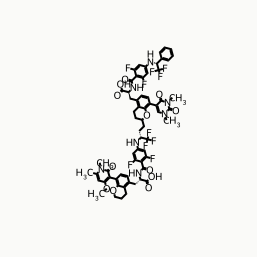 COc1cc(C)n(C)c(=O)c1-c1ccc(C[C@H](NC(=O)c2c(F)cc(N[C@H](CCC3CCc4c(C[C@H](NC(=O)c5c(F)cc(N[C@H](c6ccccc6)C(F)(F)F)cc5F)C(=O)O)ccc(-c5cn(C)c(=O)n(C)c5=O)c4O3)C(F)(F)F)cc2F)C(=O)O)c2c1OCCC2